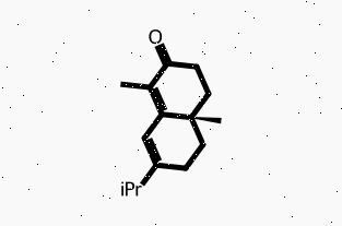 CC1=C2C=C(C(C)C)CC[C@@]2(C)CCC1=O